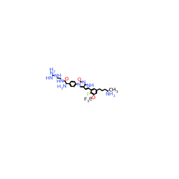 C[C@H](N)CCCc1cc(OC(F)(F)F)c(F)c(-c2cc3cn(-c4ccc([C@H](N)C(=O)NCCNC(=N)N)cc4)c(=O)nc3[nH]2)c1